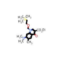 CCOC(=O)c1cn(COCCS(C)(C)C)c2cc(N(C)C)c(C)cc2c1=O